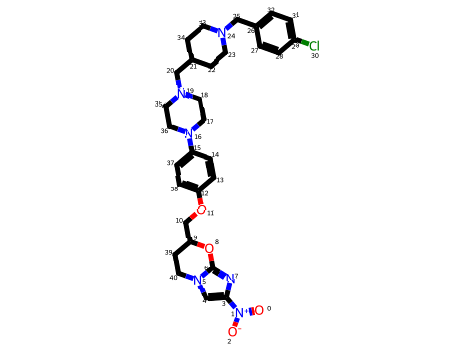 O=[N+]([O-])c1cn2c(n1)OC(COc1ccc(N3CCN(CC4CCN(Cc5ccc(Cl)cc5)CC4)CC3)cc1)CC2